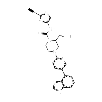 C#Cc1nc(NC(=O)N2CCN(c3ccc(-c4cccc5ncsc45)cn3)CC2CO)cs1